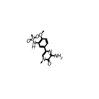 COc1ccc(-c2cn(C)c(=O)c(N)n2)cc1NS(C)(=O)=O